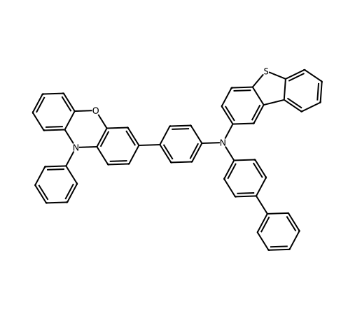 c1ccc(-c2ccc(N(c3ccc(-c4ccc5c(c4)Oc4ccccc4N5c4ccccc4)cc3)c3ccc4sc5ccccc5c4c3)cc2)cc1